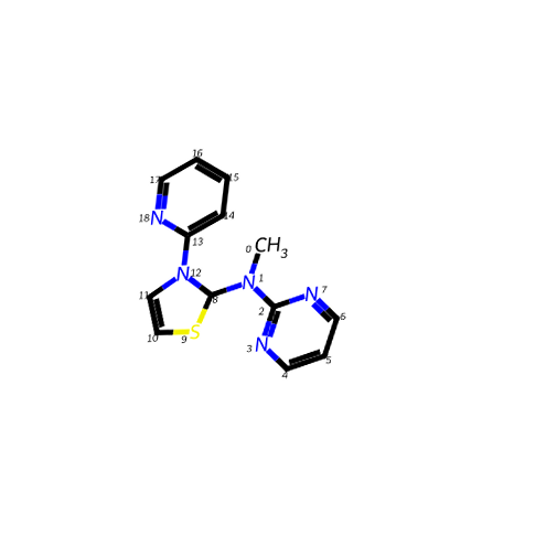 CN(c1ncccn1)C1SC=CN1c1ccccn1